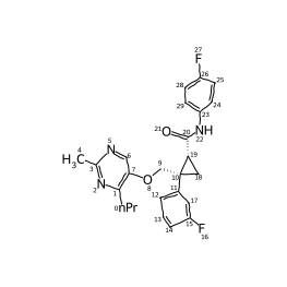 CCCc1nc(C)ncc1OC[C@@]1(c2cccc(F)c2)C[C@H]1C(=O)Nc1ccc(F)cc1